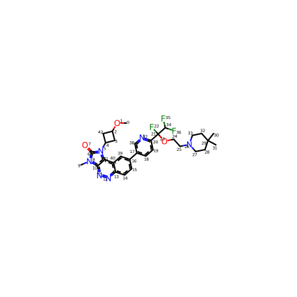 COC1CC(n2c(=O)n(C)c3nnc4ccc(-c5ccc(C(F)(OCCN6CCC(C)(C)CC6)C(F)F)nc5)cc4c32)C1